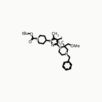 COC[C@]1(C)CN(Cc2ccccc2)CCN1c1nn(C2CCN(C(=O)OC(C)(C)C)CC2)c(C)c1I